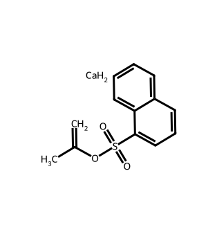 C=C(C)OS(=O)(=O)c1cccc2ccccc12.[CaH2]